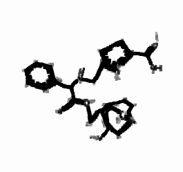 O=C(O)c1ccc(CNC(C(=O)OC[C@H]2CN3CCC2CC3)c2ccccc2)s1